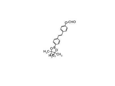 CC1(C)OB(c2ccc(C=Cc3ccc(OC=O)cc3)cc2)OC1(C)C